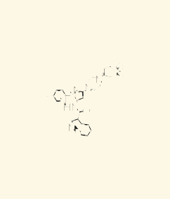 Cc1ccc(-n2nc(N3CCN([C@@H]4CCS(=O)(=O)C4)CC3)cc2NC(=O)c2cnn3ccccc23)nc1